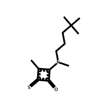 Cc1c(N(C)CCCC(C)(C)C)c(=O)c1=S